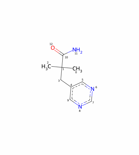 CC(C)(Cc1cncnc1)C(N)=O